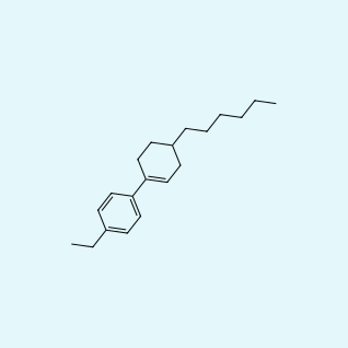 CCCCCCC1CC=C(c2ccc(CC)cc2)CC1